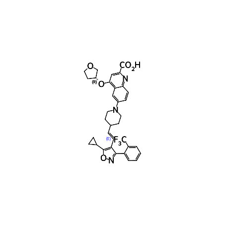 O=C(O)c1cc(O[C@@H]2CCOC2)c2cc(N3CCC(/C=C/c4c(-c5ccccc5C(F)(F)F)noc4C4CC4)CC3)ccc2n1